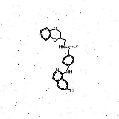 [O-][S+](NCC1COc2ccccc2O1)c1ccc(Nc2nccc3ccc(Cl)cc23)cc1